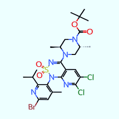 Cc1cc(Br)nc(C(C)C)c1N1c2nc(Cl)c(Cl)cc2C(N2C[C@@H](C)N(C(=O)OC(C)(C)C)C[C@@H]2C)=NS1(=O)=O